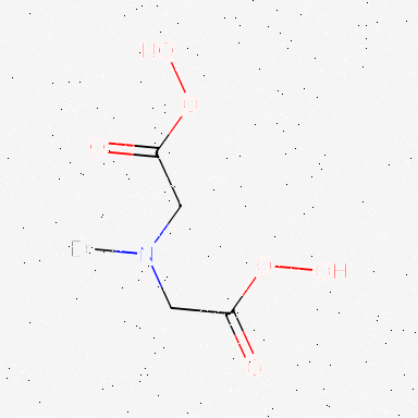 CCN(CC(=O)OO)CC(=O)OO